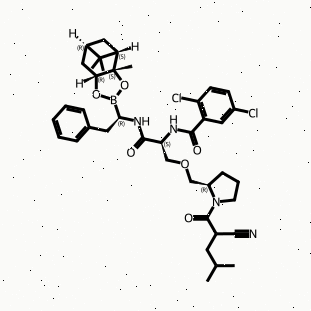 CC(C)CC(C#N)C(=O)N1CCC[C@@H]1COC[C@H](NC(=O)c1cc(Cl)ccc1Cl)C(=O)N[C@@H](Cc1ccccc1)B1O[C@@H]2C[C@H]3C[C@@H](C3(C)C)[C@]2(C)O1